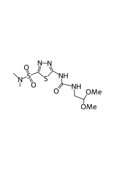 COC(CNC(=O)Nc1nnc(S(=O)(=O)N(C)C)s1)OC